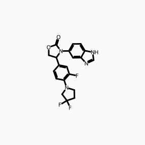 O=C1OCC(c2ccc(N3CCC(F)(F)C3)c(F)c2)N1c1ccc2[nH]cnc2c1